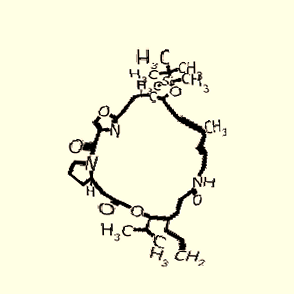 C=CC[C@@H]1/C=C/C(=O)NC/C=C/C(C)=C/C(O[Si](C)(C)C(C)(C)C)C[C@@H](F)Cc2nc(co2)C(=O)N2CCC[C@H]2CC(=O)O[C@@H]1C(C)C